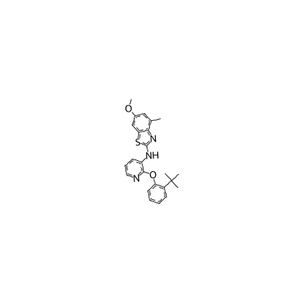 COc1cc(C)c2nc(Nc3cccnc3Oc3ccccc3C(C)(C)C)sc2c1